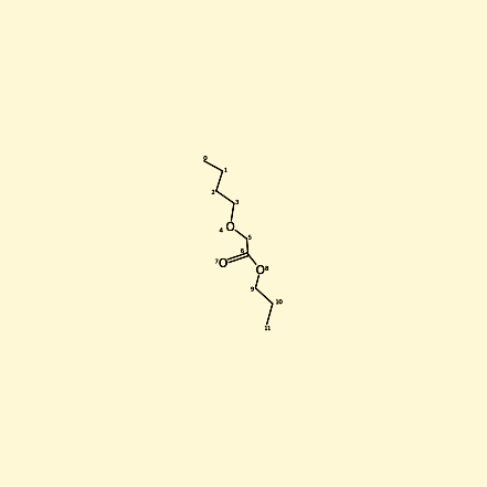 CCCCOCC(=O)OCCC